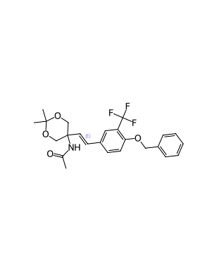 CC(=O)NC1(/C=C/c2ccc(OCc3ccccc3)c(C(F)(F)F)c2)COC(C)(C)OC1